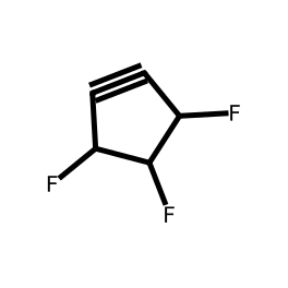 FC1C#CC(F)C1F